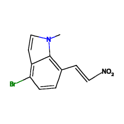 Cn1ccc2c(Br)ccc(C=C[N+](=O)[O-])c21